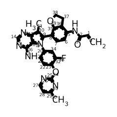 C=CC(=O)Nc1ccc(-c2c(C)c3ncnc(N)c3n2-c2ccc(Oc3nccc(C)n3)c(F)c2)c2c1CCO2